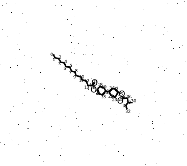 CCCCCCCCCCCCCCC(=O)Oc1ccc(-c2ccc(OC(=O)CC(C)CC)cc2)cc1